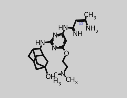 C/C(N)=C/C(=N)Nc1cc(OCCN(C)C)nc(NC2C3CC4CC2CC(O)(C4)C3)n1